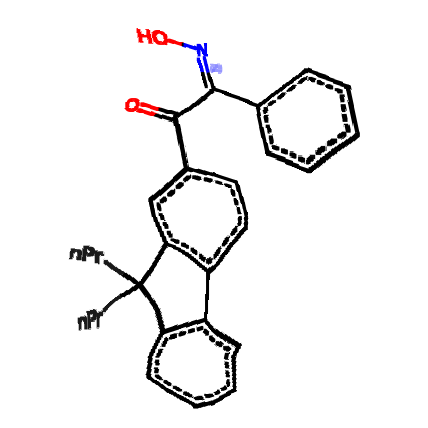 CCCC1(CCC)c2ccccc2-c2ccc(C(=O)/C(=N\O)c3ccccc3)cc21